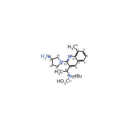 Cc1cccc2cc(C(C)N(C(=O)O)C(C)(C)C)c(N3CCC(N)C3)nc12